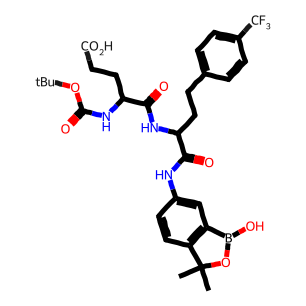 CC(C)(C)OC(=O)NC(CCC(=O)O)C(=O)NC(CCc1ccc(C(F)(F)F)cc1)C(=O)Nc1ccc2c(c1)B(O)OC2(C)C